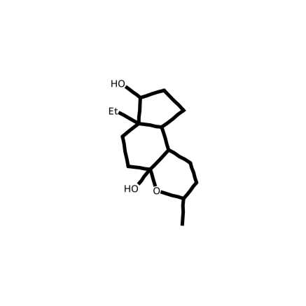 CCC12CCC3(O)OC(C)CCC3C1CCC2O